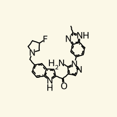 Cc1nc2cc(-n3ncc(C(=O)c4cc5cc(CN6CCC(F)C6)ccc5[nH]4)c3N)ccc2[nH]1